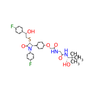 CC(C)(C)[C@H](CO)NC(=O)CNC(=O)COc1ccc([C@@H]2[C@@H](SCC(O)c3ccc(F)cc3)C(=O)N2c2ccc(F)cc2)cc1